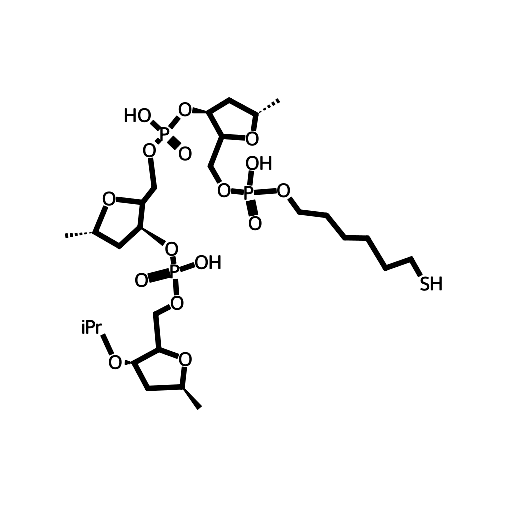 CC(C)O[C@H]1C[C@H](C)OC1COP(=O)(O)O[C@H]1C[C@H](C)OC1COP(=O)(O)O[C@H]1C[C@H](C)OC1COP(=O)(O)OCCCCCCS